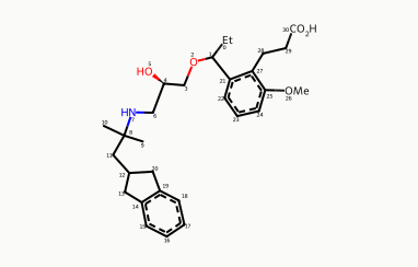 CCC(OC[C@H](O)CNC(C)(C)CC1Cc2ccccc2C1)c1cccc(OC)c1CCC(=O)O